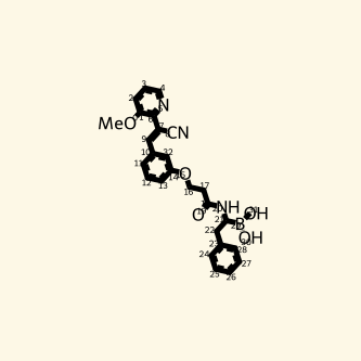 COc1cccnc1C(C#N)=Cc1cccc(OCCC(=O)NC(Cc2ccccc2)B(O)O)c1